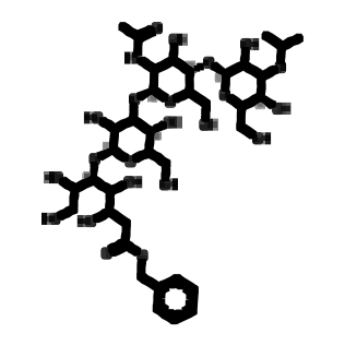 CC(=O)NC1C(O)[C@H](O[C@@H]2OC(CO)[C@H](O)C(OC(C)C)C2O)C(CO)O[C@H]1OC1C(O)[C@H](O[C@H](C(O)CO)C(O)C(O)CC(=O)OCc2ccccc2)OC(CO)[C@@H]1O